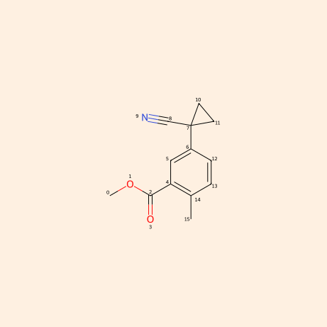 COC(=O)c1cc(C2(C#N)CC2)ccc1C